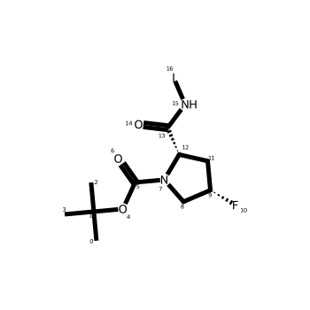 CC(C)(C)OC(=O)N1C[C@@H](F)C[C@H]1C(=O)NI